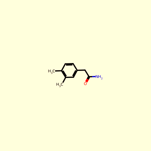 Cc1ccc(CC(N)=O)cc1C